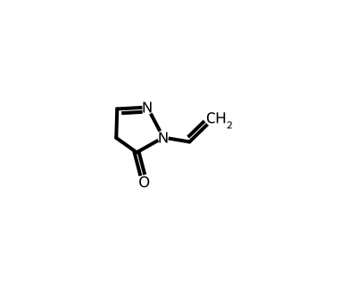 C=CN1N=CCC1=O